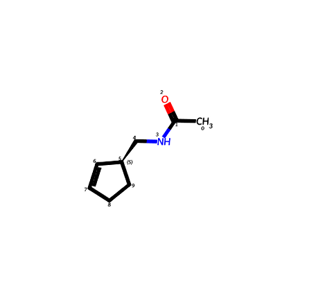 CC(=O)NC[C@@H]1C=CCC1